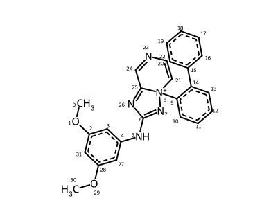 COc1cc(NC2=N[N+]3(c4ccccc4-c4ccccc4)C=CN=CC3=N2)cc(OC)c1